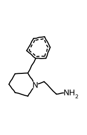 NCCN1CCCCC1c1ccccc1